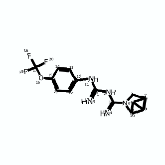 N=C(NC(=N)N1CC2C3C2C31)Nc1ccc(OC(F)(F)F)cc1